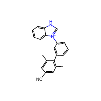 Cc1cc(C#N)cc(C)c1-c1cccc(-[n+]2c[nH]c3ccccc32)c1